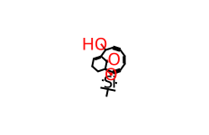 CC(C)(C)[Si](C)(C)OC12C#CC=CC#CC(O)C(=CCC1)C2=O